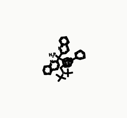 CC(C)(C)P(C[C]12[CH]3[C]4(c5ccccc5)[CH]5[C]1(C(P)(c1ccc6ccccc6n1)c1ccc6ccccc6n1)[Fe]35421678[CH]2[CH]1[CH]6[CH]7[CH]28)C(C)(C)C